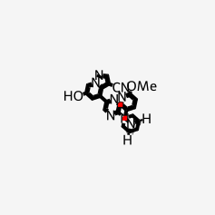 COc1ccc(CN2[C@@H]3C[C@H]2CN(c2cnc(-c4cc(O)cn5ncc(C#N)c45)cn2)C3)cn1